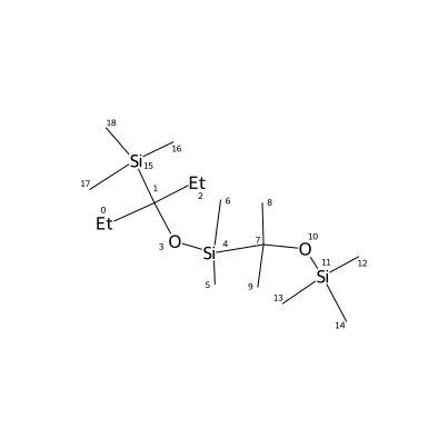 CCC(CC)(O[Si](C)(C)C(C)(C)O[Si](C)(C)C)[Si](C)(C)C